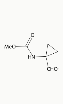 COC(=O)NC1([C]=O)CC1